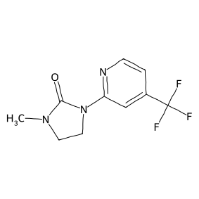 CN1CCN(c2cc(C(F)(F)F)ccn2)C1=O